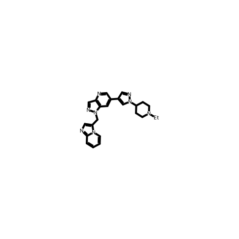 CCN1CCC(n2cc(-c3cnc4cnn(Cc5cnc6ccccn56)c4c3)cn2)CC1